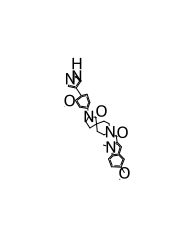 COc1ccc2c(c1)cc(C(=O)N1CCC3(CC1)CCN(c1ccc(-c4cn[nH]c4)c(OC)c1)C3=O)n2C